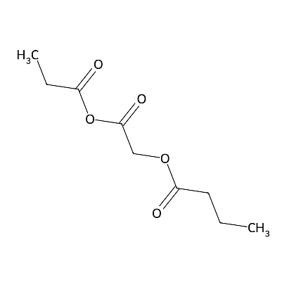 CCCC(=O)OCC(=O)OC(=O)CC